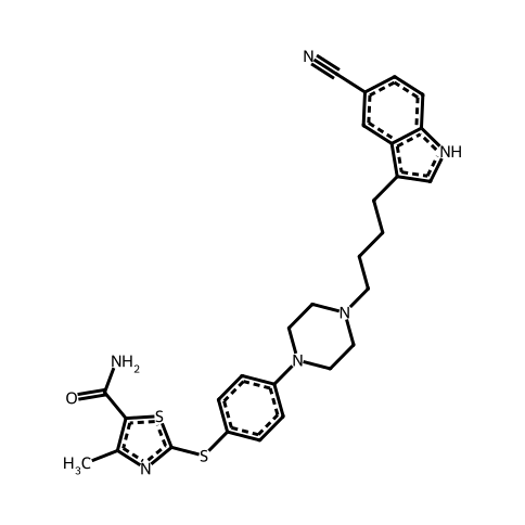 Cc1nc(Sc2ccc(N3CCN(CCCCc4c[nH]c5ccc(C#N)cc45)CC3)cc2)sc1C(N)=O